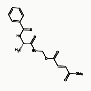 COC(=O)/C=C/C(=O)OCNC(=O)[C@H](C)NC(=O)c1ccccc1